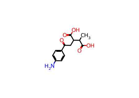 CC(C(=O)O)C(CC(=O)c1ccc(N)cc1)C(=O)O